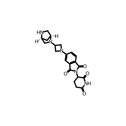 O=C1CCC(N2C(=O)c3ccc(N4CC(N5C[C@@H]6C[C@H]5CN6)C4)cc3C2=O)C(=O)N1